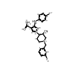 N#CC1CN(Cc2cccc(F)n2)CCC1n1cc(C(N)=O)c(Nc2ccc(F)cc2)n1